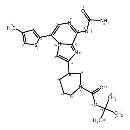 Cc1csc(-c2cnc(NC(N)=O)c3nc(C4CCCN(C(=O)OC(C)(C)C)C4)cn23)c1